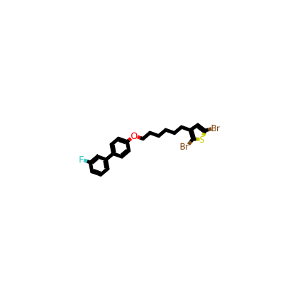 Fc1[c]c(-c2ccc(OCCCCCCc3cc(Br)sc3Br)cc2)ccc1